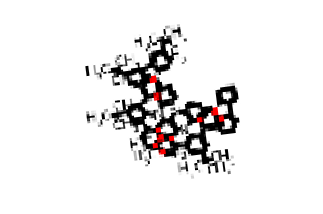 CC(C)(C)c1cc(-c2ccccc2)c(N2c3cc(-n4c5ccccc5c5ccccc54)ccc3B3c4ccc(-n5c6ccc(C(C)(C)C)cc6c6cc(C(C)(C)C)ccc65)cc4N(c4c(-c5ccccc5)cc(C(C)(C)C)cc4-c4ccccc4)c4cc(C(C)(C)C)cc2c43)c(-c2ccccc2)c1